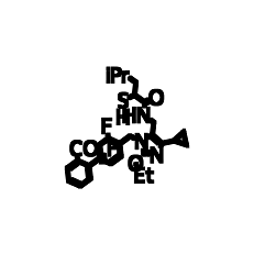 CCOc1nc(C2CC2)c(CNC(=O)C(S)CC(C)C)n1Cc1ccc(-c2ccccc2C(=O)O)cc1F